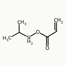 C=CC(=O)O[SiH2]C(C)C